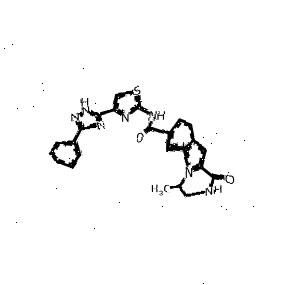 CC1CNC(=O)c2cc3ccc(C(=O)Nc4nc(-c5nc(-c6ccccc6)n[nH]5)cs4)cc3n21